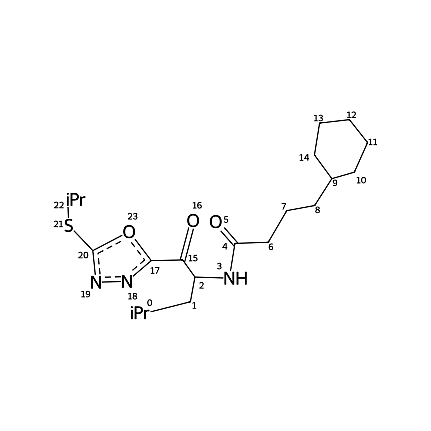 CC(C)CC(NC(=O)CCCC1CCCCC1)C(=O)c1nnc(SC(C)C)o1